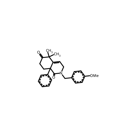 COc1ccc(CN2CC=C3C(C)(C)C(=O)CCC3(c3ccccc3)C2=O)cc1